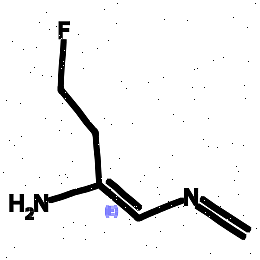 C=N/C=C(/N)CCF